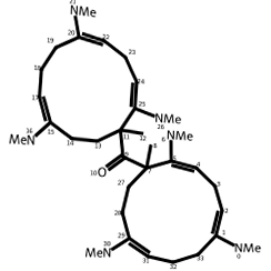 CNC1=CCC=C(NC)C(C)(C(=O)C2(C)CCC(NC)=CCCC(NC)=CCC=C2NC)CCC(NC)=CCC1